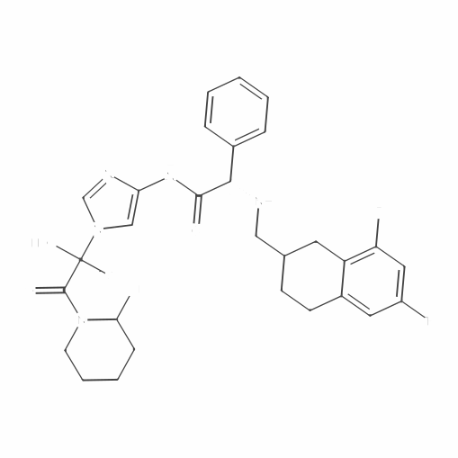 CC1CCCCN1C(=O)C(C)(C)n1cnc(NC(=O)[C@@H](NCC2CCc3cc(F)cc(F)c3C2)c2ccccc2)c1